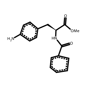 COC(=O)[C@H](Cc1ccc(N)cc1)NC(=O)c1ccccc1